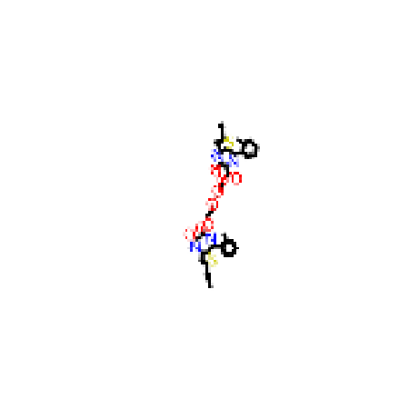 C#Cc1cc2c(s1)C(c1ccccc1C)=NC(C(=O)OCOCOCCOOC1N=C(c3ccccc3C)c3sc(C#CC)cc3N(C)C1=O)C(=O)N2C